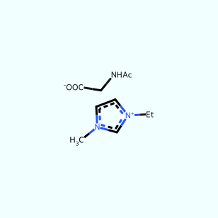 CC(=O)NCC(=O)[O-].CC[n+]1ccn(C)c1